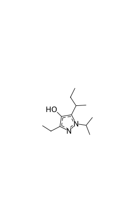 CCc1nn(C(C)C)c(C(C)CC)c1O